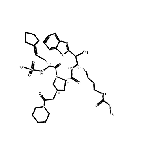 CC(C)(C)OC(=O)NCCCC[C@H](NC(=O)[C@@H]1C[C@@H](CC(=O)N2CCCCC2)CN1C(=O)[C@@H](CC=C1CCCC1)NS(C)(=O)=O)C(O)c1nc2ccccc2o1